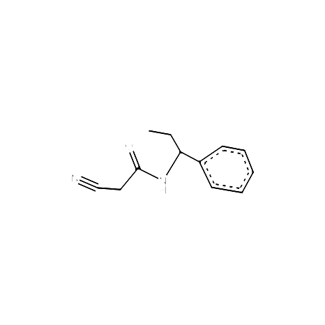 CCC(NC(=O)CC#N)c1ccccc1